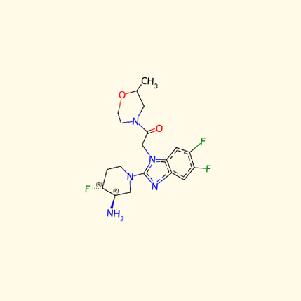 CC1CN(C(=O)Cn2c(N3CC[C@@H](F)[C@H](N)C3)nc3cc(F)c(F)cc32)CCO1